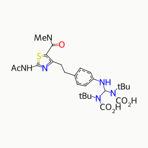 CNC(=O)c1sc(NC(C)=O)nc1CCc1ccc(NC(N(C(=O)O)C(C)(C)C)N(C(=O)O)C(C)(C)C)cc1